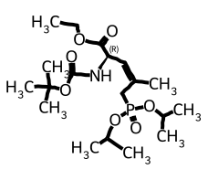 CCOC(=O)[C@@H](C=C(C)CP(=O)(OC(C)C)OC(C)C)NC(=O)OC(C)(C)C